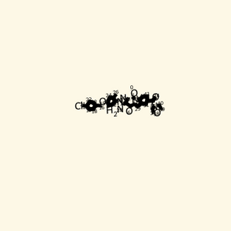 COCn1c(C(=O)c2cnn(-c3ccc(OCc4ccc(Cl)cc4)cc3C)c2N)cc2cc(C(=O)N3CCOCC3)ccc21